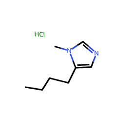 CCCCc1cncn1C.Cl